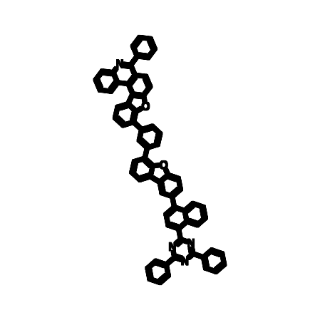 c1ccc(-c2nc(-c3ccccc3)nc(-c3ccc(-c4ccc5oc6c(-c7cccc(-c8cccc9c8oc8ccc%10c(-c%11ccccc%11)nc%11ccccc%11c%10c89)c7)cccc6c5c4)c4ccccc34)n2)cc1